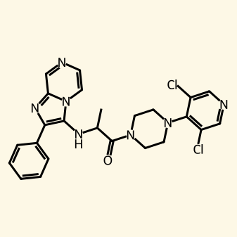 CC(Nc1c(-c2ccccc2)nc2cnccn12)C(=O)N1CCN(c2c(Cl)cncc2Cl)CC1